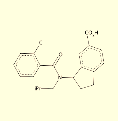 CC(C)CN(C(=O)c1ccccc1Cl)C1CCc2ccc(C(=O)O)cc21